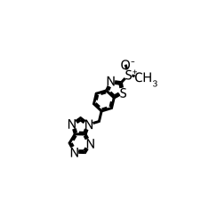 C[S+]([O-])c1nc2ccc(Cn3cnc4cncnc43)cc2s1